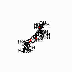 C=C1C[C@@H](C)C2CCC(C)(CC)[C@](C)(C(=O)O[C@@H]3OC(CO)[C@@H](O)C(O)C3O[C@@H]3OC(CO)[C@@H](O)C(O)C3O)CCCC[C@@H]2CC[C@@]1(C)OC[C@@H]1OC(CO)C2(OC[C@@H]3OC(CO)[C@@H](O)C(O)C3O)CC(C1O[C@@H]1OC(CO)[C@@H](O)C(O)C1O)[C@@H]2O